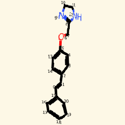 C(=Cc1ccc(OCC2=NCCN2)cc1)c1ccccc1